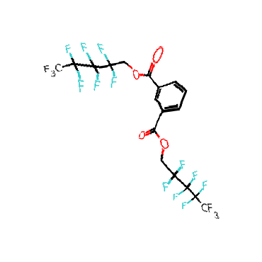 O=C(OCC(F)(F)C(F)(F)C(F)(F)C(F)(F)F)c1cccc(C(=O)OCC(F)(F)C(F)(F)C(F)(F)C(F)(F)F)c1